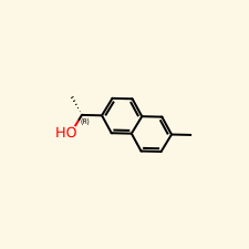 Cc1ccc2cc([C@@H](C)O)ccc2c1